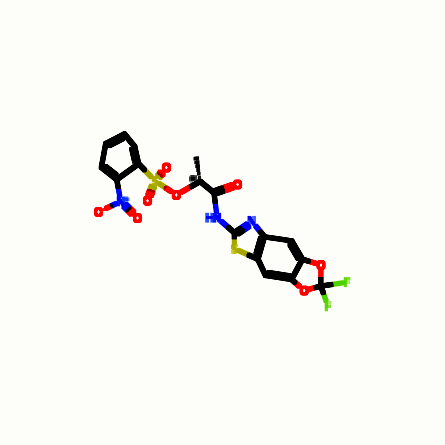 C[C@@H](OS(=O)(=O)c1ccccc1[N+](=O)[O-])C(=O)Nc1nc2cc3c(cc2s1)OC(F)(F)O3